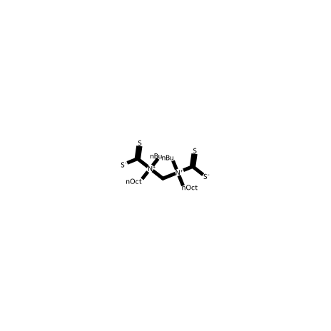 CCCCCCCC[N+](CCCC)(C[N+](CCCC)(CCCCCCCC)C(=S)[S-])C(=S)[S-]